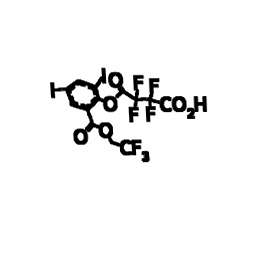 O=C(OCC(F)(F)F)c1cc(I)cc(I)c1OC(=O)C(F)(F)C(F)(F)C(=O)O